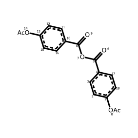 CC(=O)Oc1ccc(C(=O)OC(=O)c2ccc(OC(C)=O)cc2)cc1